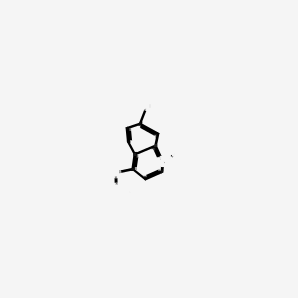 COc1cc[n+]([O-])c2cc(Br)ccc12